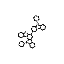 c1ccc(-n2c3ccccc3c3cc(-c4cc5c6ccccc6n(-c6ccccc6)c5c5c4oc4ccccc45)ccc32)cc1